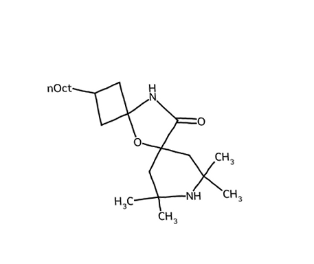 CCCCCCCCC1CC2(C1)NC(=O)C1(CC(C)(C)NC(C)(C)C1)O2